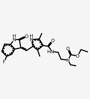 C[CH]OC(=O)N(CC)CCNC(=O)c1c(C)[nH]c(/C=C2\C(=O)Nc3ccc(F)cc32)c1C